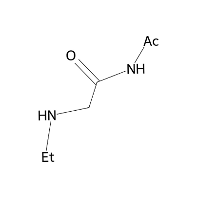 CCNCC(=O)NC(C)=O